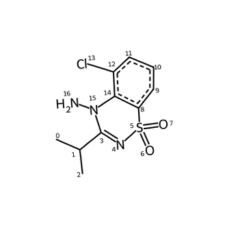 CC(C)C1=NS(=O)(=O)c2cccc(Cl)c2N1N